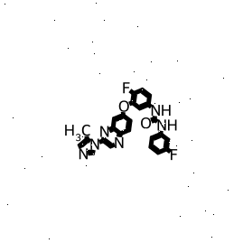 Cc1cncn1-c1cnc2ccc(Oc3cc(NC(=O)Nc4cccc(F)c4)ccc3F)cc2n1